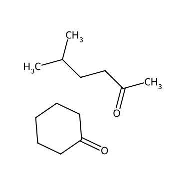 CC(=O)CCC(C)C.O=C1CCCCC1